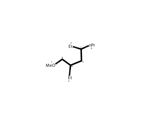 CCCC(CC)CC(CC)COC